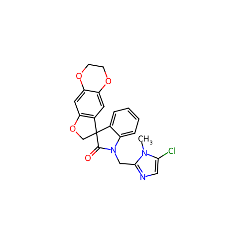 Cn1c(Cl)cnc1CN1C(=O)C2(COc3cc4c(cc32)OCCO4)c2ccccc21